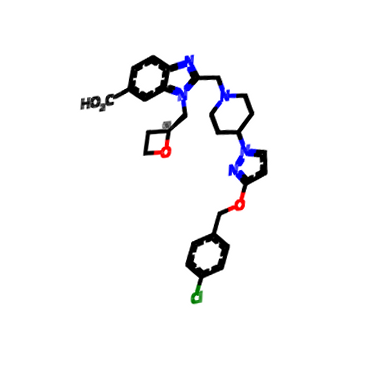 O=C(O)c1ccc2nc(CN3CCC(n4ccc(OCc5ccc(Cl)cc5)n4)CC3)n(C[C@@H]3CCO3)c2c1